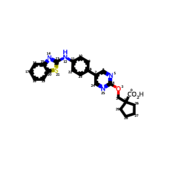 O=C(O)C1(COc2ncc(-c3ccc(Nc4nc5ccccc5s4)cc3)cn2)CCCC1